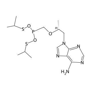 CC(C)SOP(CO[C@H](C)Cn1cnc2c(N)ncnc21)OSC(C)C